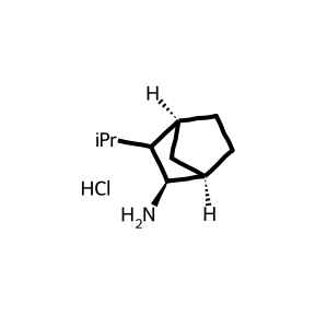 CC(C)C1[C@H]2CC[C@H](C2)[C@H]1N.Cl